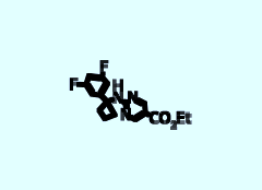 CCOC(=O)c1cnc(NC2(c3cc(F)cc(F)c3)CCC2)nc1